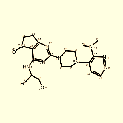 CC(C)C(CO)Nc1nc(N2CCN(c3ccnnc3N(C)C)CC2)nc2c1[S+]([O-])CC2